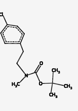 CN(CCc1ccc(Cl)cc1)C(=O)OC(C)(C)C